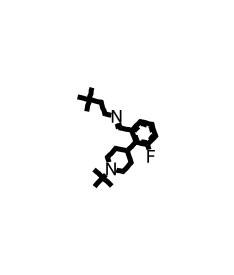 CC(C)(C)CCN=Cc1cccc(F)c1C1CCN(C(C)(C)C)CC1